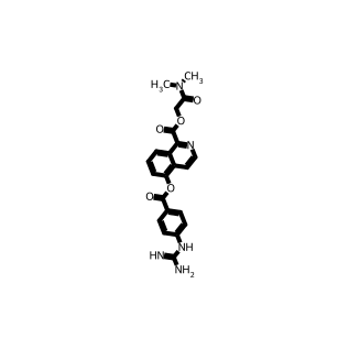 CN(C)C(=O)COC(=O)c1nccc2c(OC(=O)c3ccc(NC(=N)N)cc3)cccc12